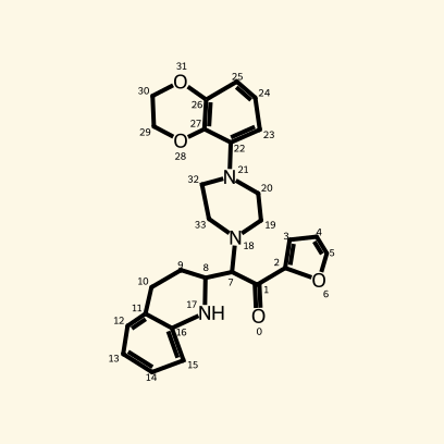 O=C(c1ccco1)C(C1CCc2ccccc2N1)N1CCN(c2cccc3c2OCCO3)CC1